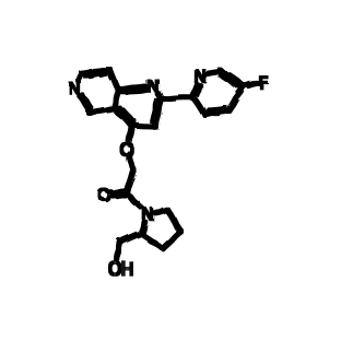 O=C(COc1cc(-c2ccc(F)cn2)nc2ccncc12)N1CCCC1CO